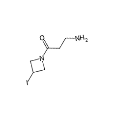 NCCC(=O)N1CC(I)C1